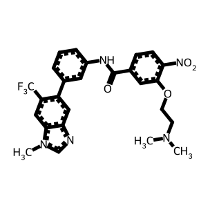 CN(C)CCOc1cc(C(=O)Nc2cccc(-c3cc4ncn(C)c4cc3C(F)(F)F)c2)ccc1[N+](=O)[O-]